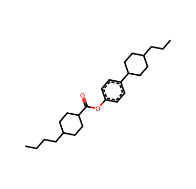 CCCCC1CCC(C(=O)Oc2ccc(C3CCC(CCC)CC3)cc2)CC1